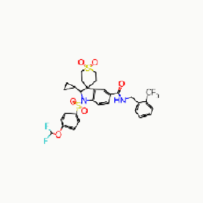 O=C(NCc1ccccc1C(F)(F)F)c1ccc2c(c1)C1(CCS(=O)(=O)CC1)C(C1CC1)N2S(=O)(=O)c1ccc(OC(F)F)cc1